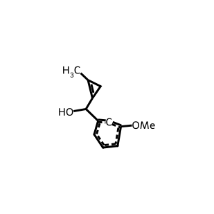 COc1cccc(C(O)C2=C(C)C2)c1